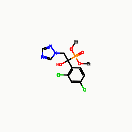 CCOP(=O)(OCC)C(O)(Cn1cncn1)c1ccc(Cl)cc1Cl